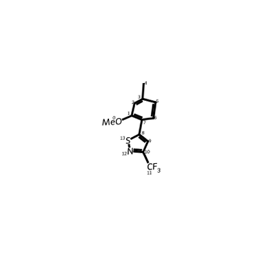 COc1cc(C)ccc1-c1cc(C(F)(F)F)ns1